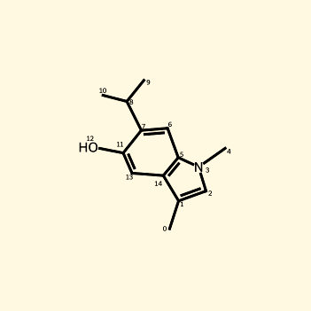 Cc1cn(C)c2cc(C(C)C)c(O)cc12